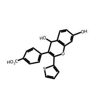 O=C(O)c1ccc(C2=C(c3cccs3)Oc3cc(O)ccc3C2O)cc1